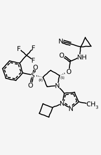 Cc1cc(N2C[C@H](S(=O)(=O)c3ccccc3C(F)(F)F)C[C@@H]2OC(=O)NC2(C#N)CC2)n(C2CCC2)n1